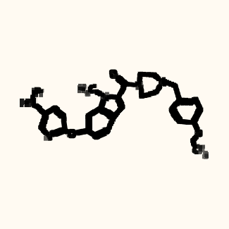 CC(C)Nc1ccc(Oc2ccc3cc(C(=O)N4CCN(Cc5ccc(OCC(F)(F)F)cc5)CC4)n(C)c3c2)nc1